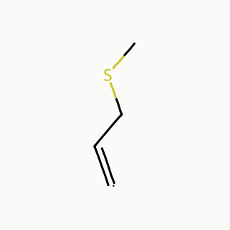 [CH]=CCSC